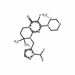 C[C@@H]1COCCN1c1nc2n(c(=O)c1F)CCC(C)(C)N2Cc1ccnn1C(F)F